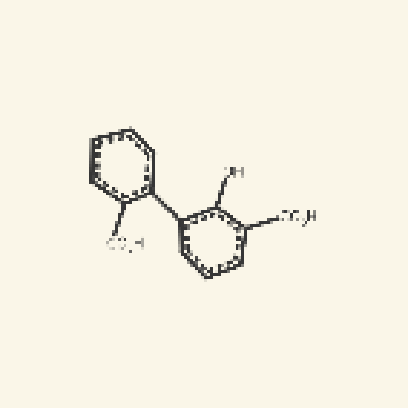 O=C(O)c1ccccc1-c1cccc(C(=O)O)c1O